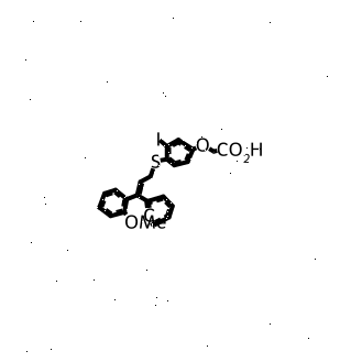 COc1ccccc1C(=CCSc1ccc(OCC(=O)O)cc1I)c1ccccc1